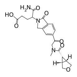 CN(CC(=O)c1ccc2c(c1)CN(C(CCC(=O)O)C(N)=O)C2=O)C(=O)[C@@H]1[C@@H]2COC[C@@H]21